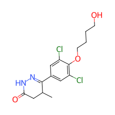 CC1CC(=O)NN=C1c1cc(Cl)c(OCCCCO)c(Cl)c1